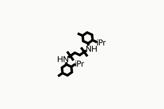 CC1CCC(C(C)C)C(NC(C)(C)CCC(C)(C)NC2CC(C)CCC2C(C)C)C1